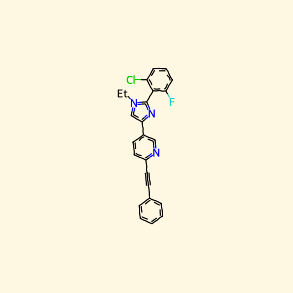 CCn1cc(-c2ccc(C#Cc3ccccc3)nc2)nc1-c1c(F)cccc1Cl